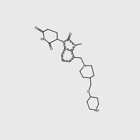 Cn1c(=O)n(C2CCC(=O)NC2=O)c2cccc(CN3CCC(COC4CCNCC4)CC3)c21